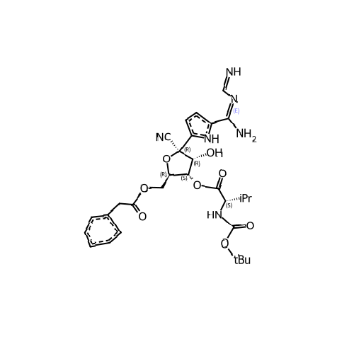 CC(C)[C@H](NC(=O)OC(C)(C)C)C(=O)O[C@H]1[C@@H](O)[C@](C#N)(c2ccc(/C(N)=N\C=N)[nH]2)O[C@@H]1COC(=O)Cc1ccccc1